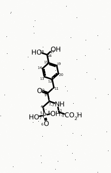 O=C(O)CNC(CP(=O)(O)O)C(=O)Cc1ccc(C(O)O)cc1